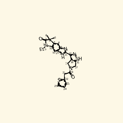 CCN1C(=O)C(C)(C)c2cc3nc(-c4n[nH]c5c4CN(C(=O)Cc4cccs4)C5)[nH]c3cc21